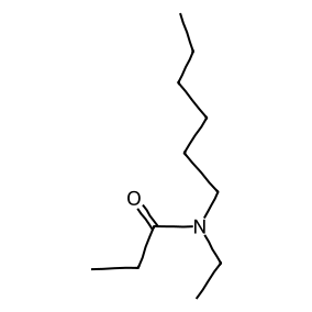 CCCCCCN(CC)C(=O)CC